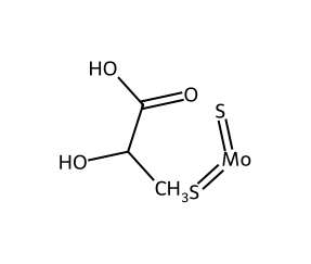 CC(O)C(=O)O.[S]=[Mo]=[S]